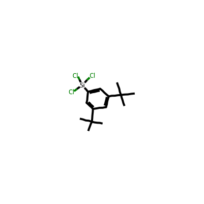 CC(C)(C)c1cc(C(C)(C)C)cc([Si](Cl)(Cl)Cl)c1